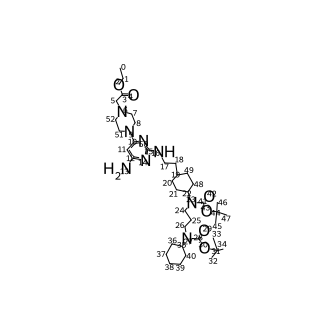 CCOC(=O)CN1CCN(c2cc(N)nc(NCCC3CCC(N(CCCN(C(=O)OC(C)(C)C)C4CCCCC4)C(=O)OC(C)(C)C)CC3)n2)CC1